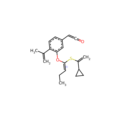 C=C(C)c1ccc(C=C=O)cc1O/C(=C\CC)SC(=C)C1CC1